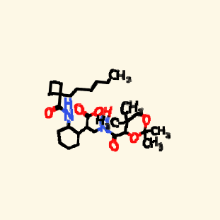 CCCCCCC1(C(=O)NC2CCCCC2C(CNC(=O)C2OC(C)(C)OCC2(C)C)C(=O)O)CCC1